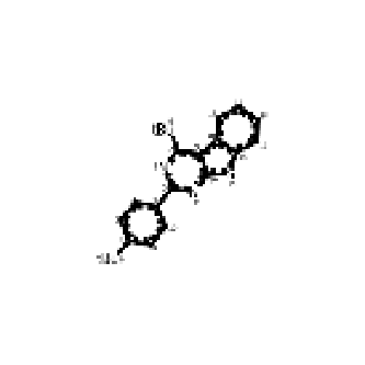 CC(C)(C)c1ccc(-c2nc(C(C)(C)C)c3c(n2)sc2ccccc23)cc1